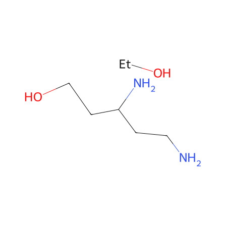 CCO.NCCC(N)CCO